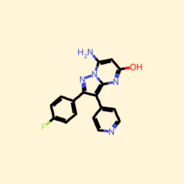 Nc1cc(O)nc2c(-c3ccncc3)c(-c3ccc(F)cc3)nn12